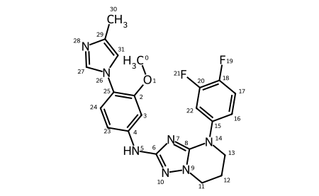 COc1cc(Nc2nc3n(n2)CCCN3c2ccc(F)c(F)c2)ccc1-n1cnc(C)c1